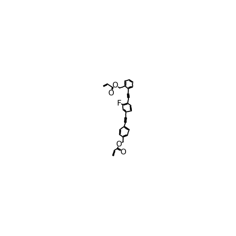 C=CC(=O)OCc1ccc(C#Cc2ccc(C#Cc3ccccc3COC(=O)C=C)c(F)c2)cc1